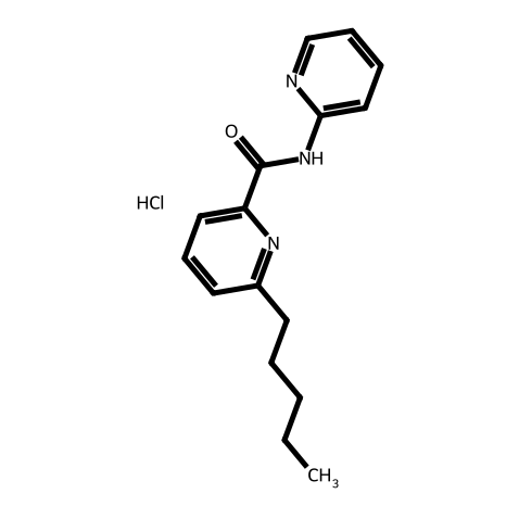 CCCCCc1cccc(C(=O)Nc2ccccn2)n1.Cl